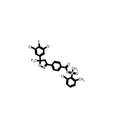 Cc1cccc(Cl)c1S(C)(=O)=NC(=O)c1ccc(C2=NOC(c3cc(Cl)c(F)c(Cl)c3)(C(F)(F)F)C2)cc1